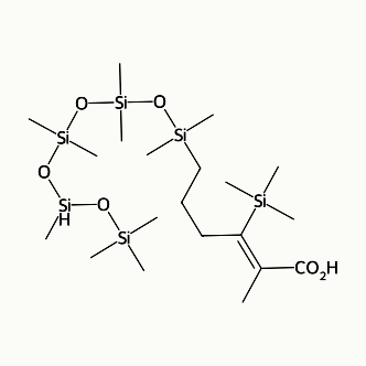 CC(C(=O)O)=C(CCC[Si](C)(C)O[Si](C)(C)O[Si](C)(C)O[SiH](C)O[Si](C)(C)C)[Si](C)(C)C